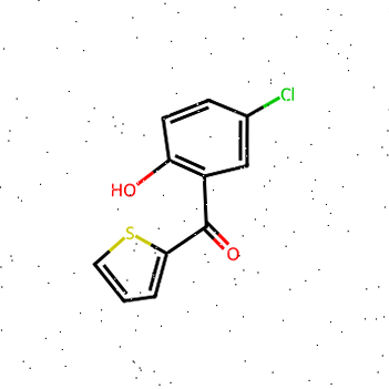 O=C(c1cccs1)c1cc(Cl)ccc1O